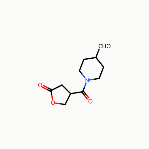 O=CC1CCN(C(=O)C2COC(=O)C2)CC1